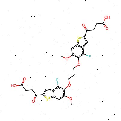 COc1cc2sc(C(=O)CCC(=O)O)cc2c(F)c1OCCCOc1c(OC)cc2sc(C(=O)CCC(=O)O)cc2c1F